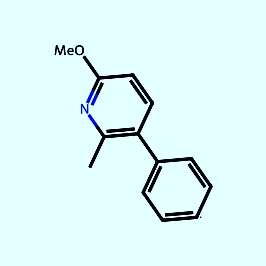 COc1ccc(-c2cc[c]cc2)c(C)n1